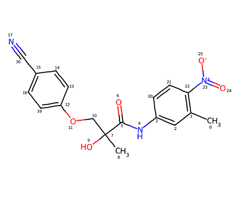 Cc1cc(NC(=O)C(C)(O)COc2ccc(C#N)cc2)ccc1[N+](=O)[O-]